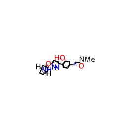 CNC(=O)/C=C/c1ccc(-c2ccc(O[C@@H]3C[C@H]4CC[C@@H](C3)N4)nn2)c(O)c1